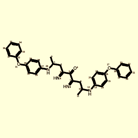 CC(CC(=N)C(=O)C(=N)CC(C)Nc1ccc(Oc2ccccc2)cc1)Nc1ccc(Oc2ccccc2)cc1